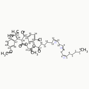 CCCCC/C=C\C/C=C\C/C=C\CCCCC(=O)O[C@@H](C)COC(=O)C(C(=O)c1ccc(Cl)cc1)c1c(C)[nH]c2ccc(OC)cc12